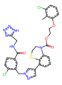 Cc1c(Cl)cccc1OCCOC(=O)N1CCSc2c(-c3cnn(Cc4cc(C(=O)NCc5nnn[nH]5)ccc4Cl)c3)cccc21